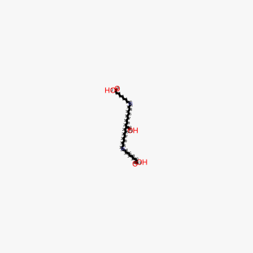 O=C(O)CCCCCCC/C=C\CCCCCCCCCC(CO)CCCCCCCC/C=C\CCCCCCCC(=O)O